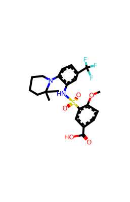 COc1ccc(C(=O)O)cc1S(=O)(=O)Nc1cc(C(F)(F)F)ccc1N1CCCCC1(C)C